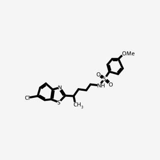 COc1ccc(S(=O)(=O)NCCCC(C)c2nc3ccc(Cl)cc3s2)cc1